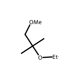 C[CH]OC(C)(C)COC